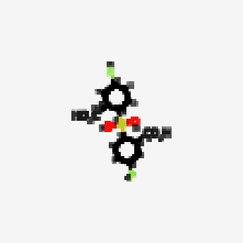 O=C(O)c1cc(F)ccc1S(=O)(=O)c1ccc(F)cc1C(=O)O